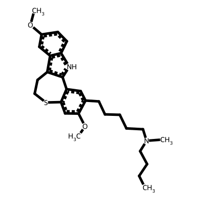 CCCCN(C)CCCCCc1cc2c(cc1OC)SCCc1c-2[nH]c2ccc(OC)cc12